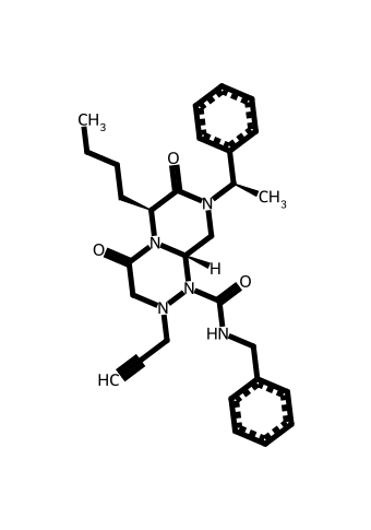 C#CCN1CC(=O)N2[C@@H](CCCC)C(=O)N([C@H](C)c3ccccc3)C[C@@H]2N1C(=O)NCc1ccccc1